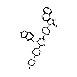 CN1CCN(C2CCN(C(=O)[C@@H](Cc3ccc4[nH]ncc4c3)OC(=O)N3CCC(n4c(=O)[nH]c5c6ccccc6ncc54)CC3)CC2)CC1